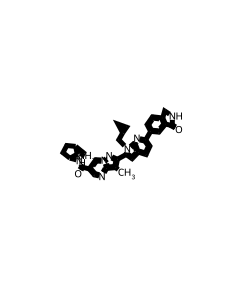 Cc1c(-c2cc3ccc(-c4ccc5c(c4)C(=O)NC5)nc3n2CC2CC2)nn2cc(C(=O)N3CC4CCC3[C@@H]4N)cnc12